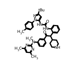 Cc1ccc(-n2nc(C(C)(C)C)cc2NC(=O)Nc2ccccc2C(C(=O)c2cccc(N(C)c3nc(C)cc(C)n3)c2)C2CCNCC2)cc1